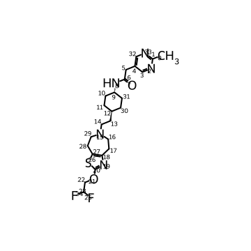 Cc1ncc(CC(=O)N[C@H]2CC[C@H](CCN3CCc4nc(OCC(F)F)sc4CC3)CC2)cn1